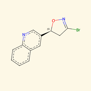 BrC1=NO[C@H](c2cnc3ccccc3c2)C1